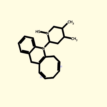 CC1CC(N2C3=C(/C=C\C/C=C\C3)Cc3ccccc32)N(S)CC1C